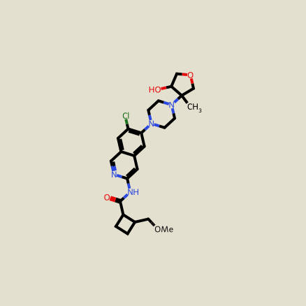 COCC1CCC1C(=O)Nc1cc2cc(N3CCN(C4(C)COCC4O)CC3)c(Cl)cc2cn1